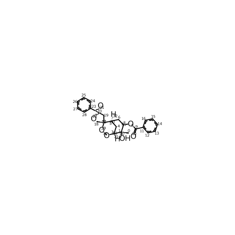 C[C@@]1(O)[C@@H]2C[C@H](C[C@H]1OC(=O)c1ccccc1)[C@@](C)(CS(=O)(=O)c1ccccc1)OO2